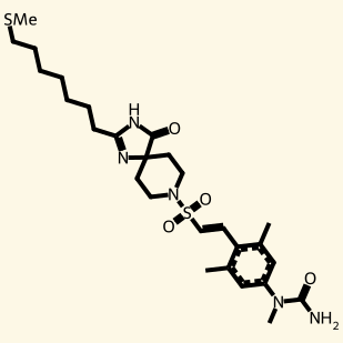 CSCCCCCCCC1=NC2(CCN(S(=O)(=O)/C=C/c3c(C)cc(N(C)C(N)=O)cc3C)CC2)C(=O)N1